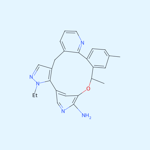 CCn1ncc2c1-c1cnc(N)c(c1)OC(C)c1cc(C)ccc1-c1ncccc1C2